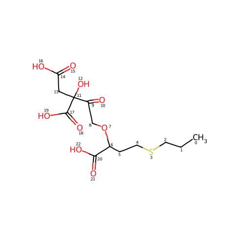 CCCSCCC(OCC(=O)C(O)(CC(=O)O)C(=O)O)C(=O)O